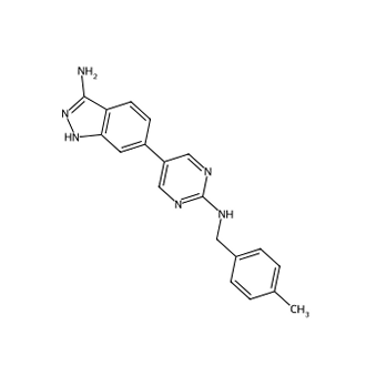 Cc1ccc(CNc2ncc(-c3ccc4c(N)n[nH]c4c3)cn2)cc1